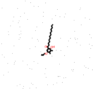 C=CCOc1cc(C(=O)CCCCCCCCCCCCC)c(O)c(C)c1C